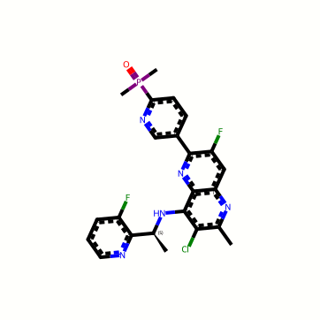 Cc1nc2cc(F)c(-c3ccc(P(C)(C)=O)nc3)nc2c(N[C@@H](C)c2ncccc2F)c1Cl